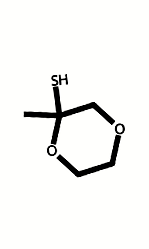 CC1(S)COCCO1